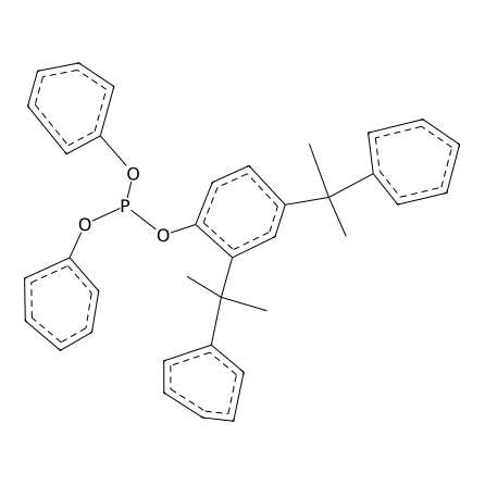 CC(C)(c1ccccc1)c1ccc(OP(Oc2ccccc2)Oc2ccccc2)c(C(C)(C)c2ccccc2)c1